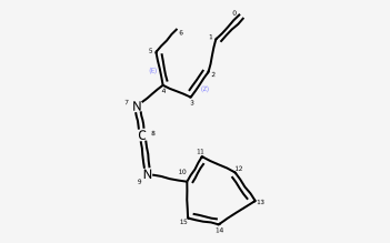 C=C/C=C\C(=C/C)N=C=Nc1ccccc1